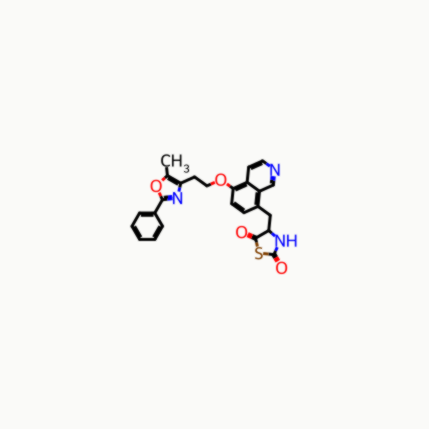 Cc1oc(-c2ccccc2)nc1CCOc1ccc(CC2NC(=O)SC2=O)c2cnccc12